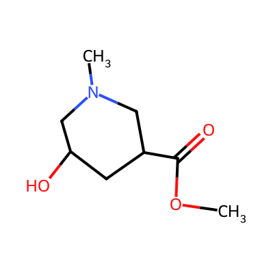 COC(=O)C1CC(O)CN(C)C1